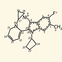 Cc1cc2c(cc1F)c(C#N)c(C1=CC=CCN1C1CC1)n2C1CCC1